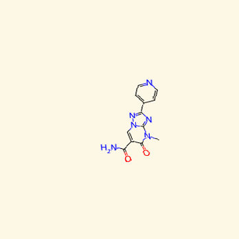 Cn1c(=O)c(C(N)=O)cn2nc(-c3ccncc3)nc12